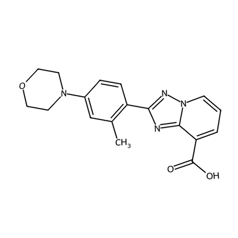 Cc1cc(N2CCOCC2)ccc1-c1nc2c(C(=O)O)cccn2n1